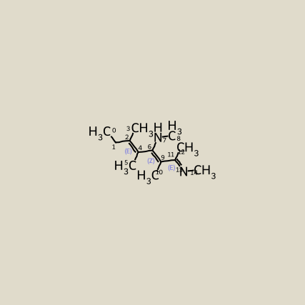 CC/C(C)=C(C)/C(NC)=C(C)/C(C)=N/C